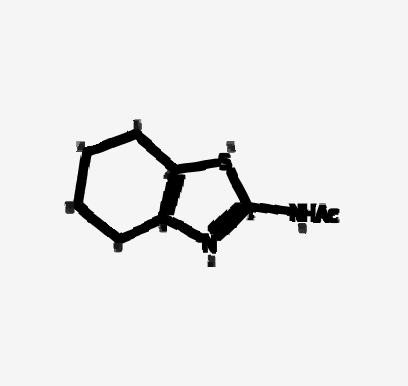 CC(=O)Nc1nc2c(s1)CCCC2